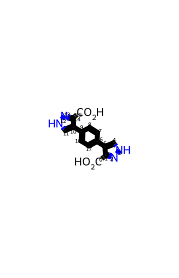 O=C(O)c1n[nH]cc1-c1ccc(-c2c[nH]nc2C(=O)O)cc1